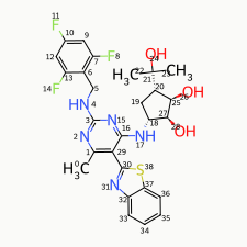 Cc1nc(NCc2c(F)cc(F)cc2F)nc(N[C@@H]2C[C@H](C(C)(C)O)[C@@H](O)[C@H]2O)c1-c1nc2ccccc2s1